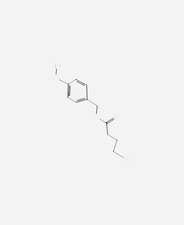 CCOc1ccc(COC(=O)CCCBr)cc1